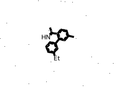 CCc1cccc(-c2cc(C)ccc2C(C)=N)c1